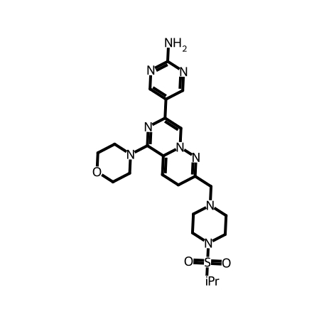 CC(C)S(=O)(=O)N1CCN(CC2=NN3C=C(c4cnc(N)nc4)N=C(N4CCOCC4)C3=CC2)CC1